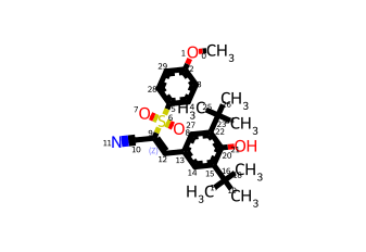 COc1ccc(S(=O)(=O)/C(C#N)=C\c2cc(C(C)(C)C)c(O)c(C(C)(C)C)c2)cc1